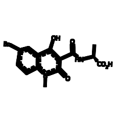 C[C@H](NC(=O)c1c(O)c2cc(Br)ccc2n(C)c1=O)C(=O)O